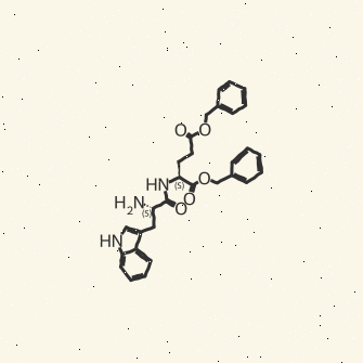 N[C@@H](Cc1c[nH]c2ccccc12)C(=O)N[C@@H](CCC(=O)OCc1ccccc1)C(=O)OCc1ccccc1